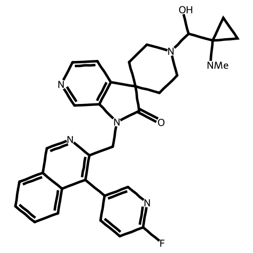 CNC1(C(O)N2CCC3(CC2)C(=O)N(Cc2ncc4ccccc4c2-c2ccc(F)nc2)c2cnccc23)CC1